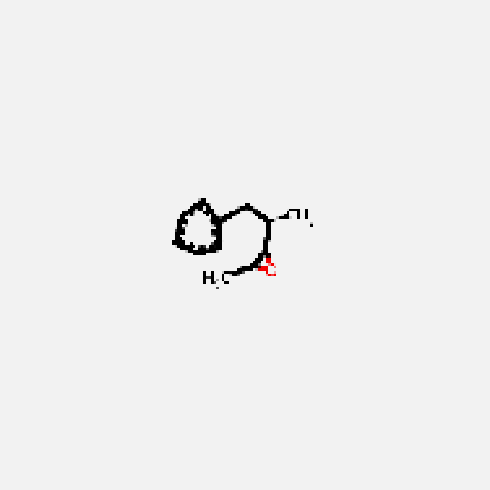 CC1OC1[C@@H](C)Cc1ccccc1